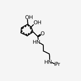 CC(C)NCCCNC(=O)c1cccc(O)c1O